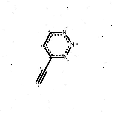 [C]#Cc1ccnnn1